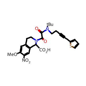 COc1cc2c(cc1[N+](=O)[O-])C(C(=O)O)N(C(=O)C(=O)N(CCC#Cc1cccs1)C(C)(C)C)CC2